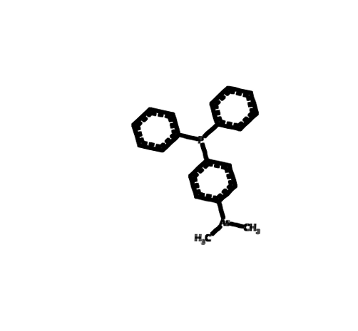 C[As](C)c1ccc(P(c2ccccc2)c2ccccc2)cc1